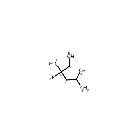 CC(C)CC(C)(F)CO